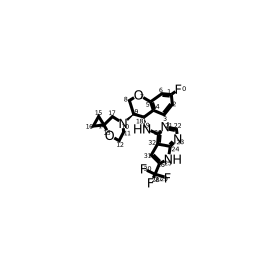 Fc1ccc2c(c1)OC[C@H](N1CCOC3(CC3)C1)[C@H]2Nc1ncnc2[nH]c(C(F)(F)F)cc12